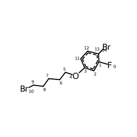 Fc1cc(OCCCCCBr)ccc1Br